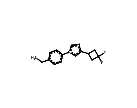 NCc1[c]cc(-n2cnc(C3CC(F)(F)C3)c2)cc1